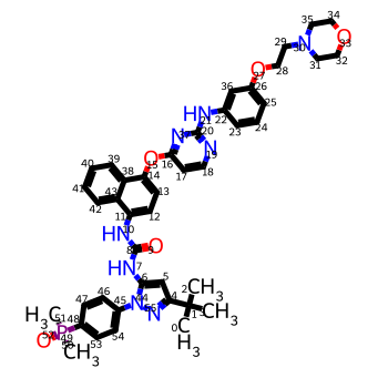 CC(C)(C)c1cc(NC(=O)Nc2ccc(Oc3ccnc(Nc4cccc(OCCN5CCOCC5)c4)n3)c3ccccc23)n(-c2ccc(P(C)(C)=O)cc2)n1